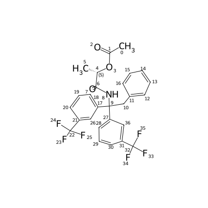 CC(=O)O[C@@H](C)C(=O)NC(Cc1ccccc1)(c1cccc(C(F)(F)F)c1)c1cccc(C(F)(F)F)c1